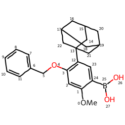 COc1cc(OCc2ccccc2)c(C23CC4CC(CC(C4)C2)C3)cc1B(O)O